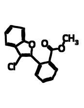 COC(=O)c1ccccc1-c1oc2ccccc2c1Cl